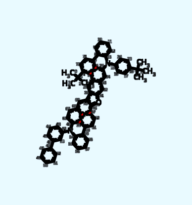 CC(C)(C)c1ccc(-c2ccccc2N(c2ccc(C(C)(C)C)cc2)c2ccc3cc4c(cc3c2)oc2cc3cc(N(c5cccc(-c6ccccc6)c5)c5ccccc5-c5ccccc5)ccc3cc24)cc1